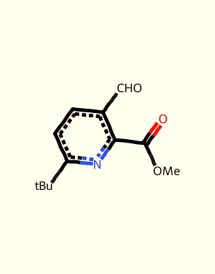 COC(=O)c1nc(C(C)(C)C)ccc1C=O